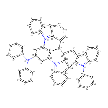 c1ccc(N(c2ccccc2)c2cc3c4c(c2)-n2c5ccccc5c5c2c(cc2c6ccccc6n(-c6ccccc6)c25)B4c2cccc4c5ccccc5n-3c24)cc1